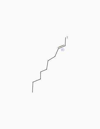 [CH]/C=C/CCCCCCC